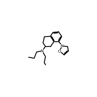 CCCN(CCC)C1CCc2cccc(N3CC=CO3)c2C1